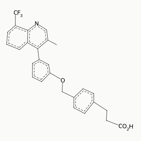 Cc1cnc2c(C(F)(F)F)cccc2c1-c1cccc(OCc2ccc(CCC(=O)O)cc2)c1